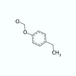 CCc1ccc(OC[O])cc1